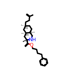 C=C(C)CC[C@@]1(C)CC[C@@]2(C)CN[C@](C)(C(=C)OCCCCc3ccccc3)C[C@@]2(C)C1